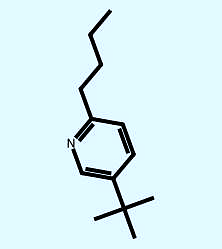 CCCCc1ccc(C(C)(C)C)cn1